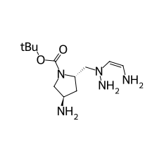 CC(C)(C)OC(=O)N1C[C@H](N)C[C@H]1CN(N)/C=C\N